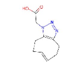 O=C(O)Cn1nnc2c1CC/C=C/CC2